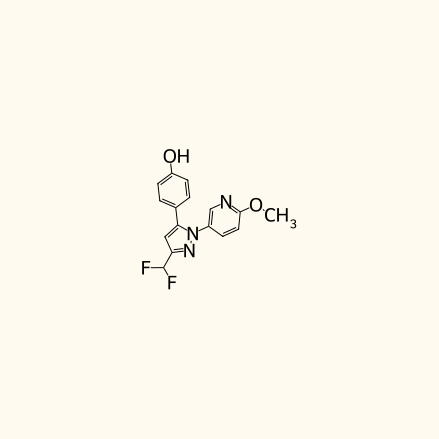 COc1ccc(-n2nc(C(F)F)cc2-c2ccc(O)cc2)cn1